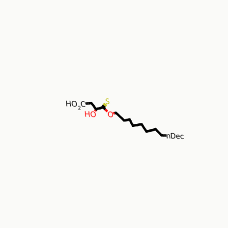 CCCCCCCCCCCCCCCCCCOC(=S)C(O)CC(=O)O